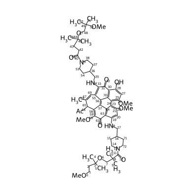 COCCC(C)(C)OCC(C)(C)C(=O)N1CCC(CNc2cc(OC)c3c4c(OC)cc(O)c5c(=O)c(NCC6CCN(C(=O)CCC(C)(C)OCC(C)(C)OC)CC6)c6c(c7c(c(OC)c(=O)c2c37)C(C(C)=O)C(C)=C6)c54)CC1